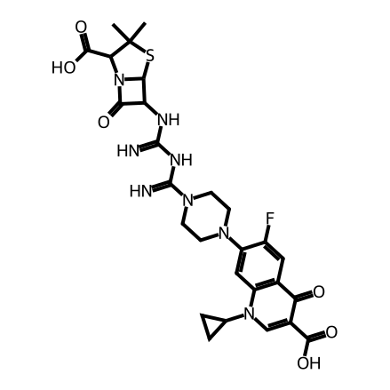 CC1(C)SC2C(NC(=N)NC(=N)N3CCN(c4cc5c(cc4F)c(=O)c(C(=O)O)cn5C4CC4)CC3)C(=O)N2C1C(=O)O